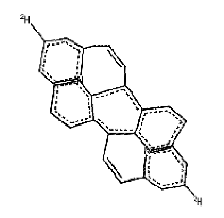 [2H]c1ccnc(/C=C\c2c3ccccc3c(/C=C\c3cc([2H])ccn3)c3ccccc23)c1